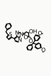 COc1ccc(C(OC[C@H]2O[C@@H](n3cnc4c(-c5ccc(Cc6ccccc6)s5)ccnc43)CC2O)(c2ccccc2)c2ccc(OC)cc2)cc1